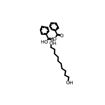 O=C(O)c1ccccc1.O=C(O)c1ccccc1.OCCCCCCCCCCO